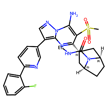 CCNC(=O)N1[C@@H]2CC[C@H]1C[C@H](c1nc3c(-c4ccc(-c5ccccc5F)nc4)cnn3c(N)c1S(C)(=O)=O)C2